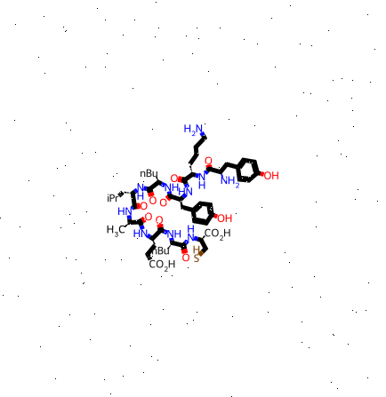 CCCC[C@H](NC(=O)[C@H](CCC(=O)O)NC(=O)[C@H](C)NC(=O)[C@H](CC(C)C)NC(=O)[C@H](CCCC)NC(=O)[C@H](Cc1ccc(O)cc1)NC(=O)[C@H](CCCCN)NC(=O)[C@@H](N)Cc1ccc(O)cc1)C(=O)N[C@@H](CS)C(=O)O